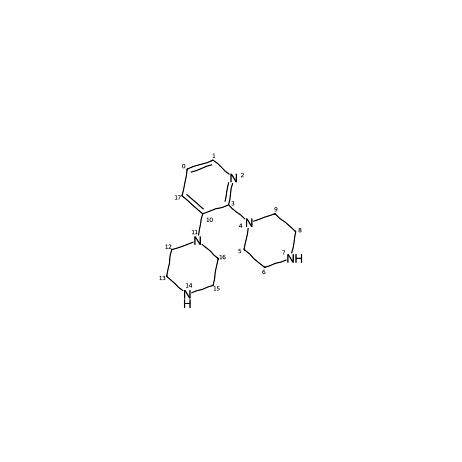 c1cnc(N2CCNCC2)c(N2CCNCC2)c1